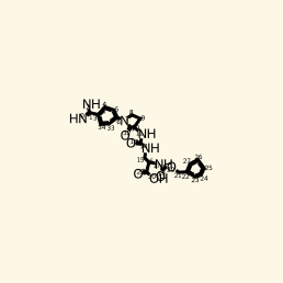 N=C(N)c1ccc(N2CCC(NC(=O)NCC(NC(=O)OCc3ccccc3)C(=O)O)C2=O)cc1